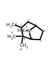 CC1CC2CCC(N2C)C1(C)C